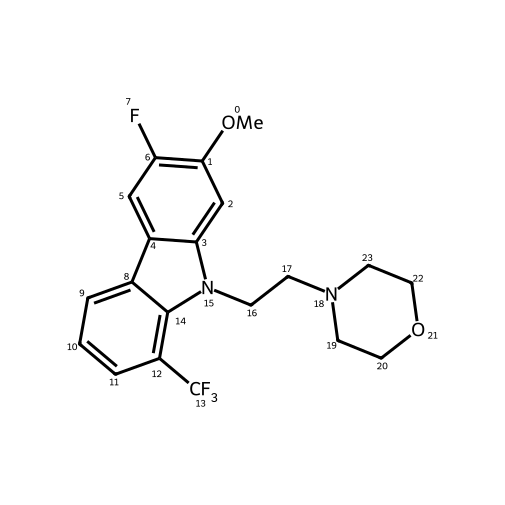 COc1cc2c(cc1F)c1cccc(C(F)(F)F)c1n2CCN1CCOCC1